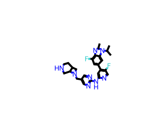 Cc1nc2c(F)cc(-c3cc(Nc4ncc(CN5CC6CCNCC65)cn4)ncc3F)cc2n1C(C)C